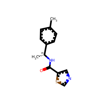 Cc1ccc([C@@H](C)NC(=O)c2cncs2)cc1